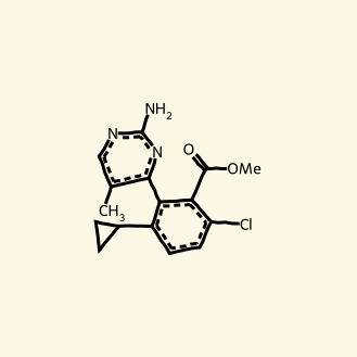 COC(=O)c1c(Cl)ccc(C2CC2)c1-c1nc(N)ncc1C